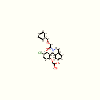 O=C(O)COc1ccc(Cl)cc1C1c2ccccc2CCN1C(=O)COCc1ccccc1